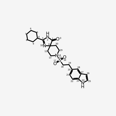 O=C1NC(C2CCCCC2)=NC12CCN(S(=O)(=O)CCc1ccc3[nH]ccc3c1)CC2